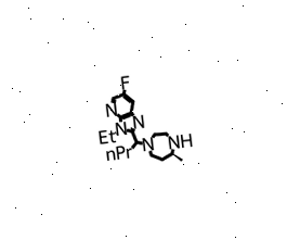 CCCC(c1nc2cc(F)cnc2n1CC)N1CCN[C@@H](C)CC1